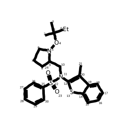 CCC(C)(C)ON1CCCC1CN(c1sc2ccccc2c1C)S(=O)(=O)c1ccccc1